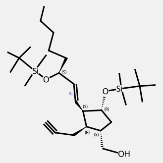 C#CC[C@@H]1[C@@H](CO)C[C@@H](O[Si](C)(C)C(C)(C)C)[C@@H]1/C=C/[C@H](CCCCC)O[Si](C)(C)C(C)(C)C